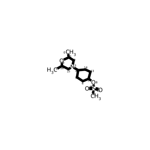 CC1CN(C2CCC(OS(C)(=O)=O)CC2)CC(C)O1